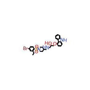 CCc1cc(Br)ccc1S(=O)(=O)N1CCC(CNC[C@H](O)COc2cccc3[nH]c4ccccc4c23)CC1